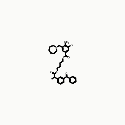 CC(C(=O)OCCCCOC(=O)c1cc(Br)c(N)c(CN2CCCCCC2)c1)c1cccc(C(=O)c2ccccc2)c1